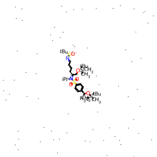 CC(O[Si](C)(C)C(C)(C)C)c1ccc(S(=O)(=O)N(C(C)C)[C@@H](CCCC=N[S+]([O-])C(C)(C)C)CO[Si](C)(C)C(C)(C)C)cc1